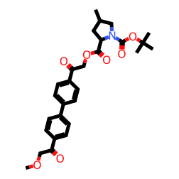 COCC(=O)c1ccc(-c2ccc(C(=O)COC(=O)C3CC(C)CN3C(=O)OC(C)(C)C)cc2)cc1